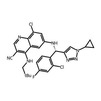 CC(C)(C)CNc1c(C#N)cnc2c(Cl)cc(N[C@H](c3cn(C4CC4)nn3)c3ccc(F)cc3Cl)cc12